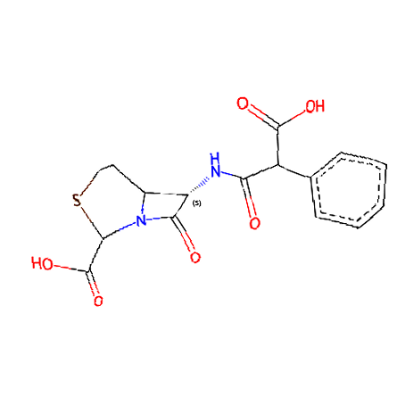 O=C(O)C(C(=O)N[C@@H]1C(=O)N2C(C(=O)O)SCC12)c1ccccc1